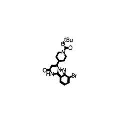 CC(C)(C)OC(=O)N1CCC(c2cc(=O)[nH]c3c4cccc(Br)c4nn23)CC1